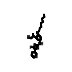 CCCCCCCCOc1ccc(Nc2nc(-c3cccnc3)c(F)s2)cc1C(C)C=O